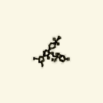 CC(C)(COc1c(N2CCN(S(=O)(=O)C3CC3)CC2)cnn(-c2cc(F)cc(F)c2)c1=O)c1ccc(Cl)cc1